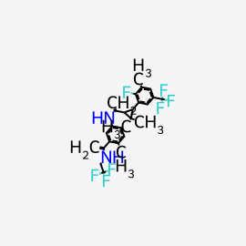 C=C(NCC(F)(F)F)c1cc(NC(=C)C2C(c3cc(C(F)(F)F)cc(C)c3F)C2(C)C)ccc1C